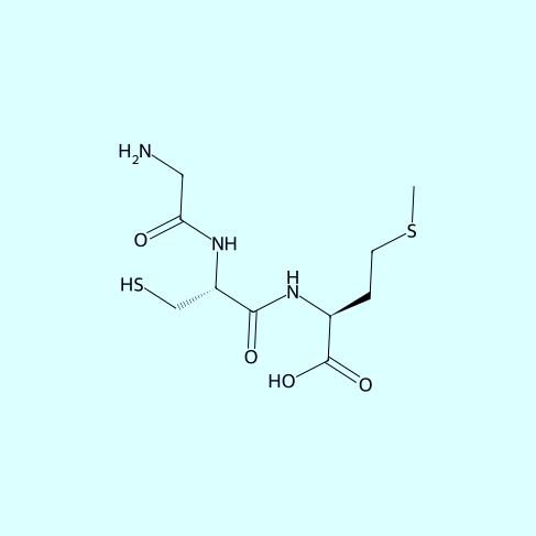 CSCC[C@H](NC(=O)[C@H](CS)NC(=O)CN)C(=O)O